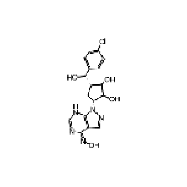 O/N=c1/nc[nH]c2c1cnn2[C@@H]1C[C@H](C(O)c2ccc(Cl)cc2)[C@@H](O)[C@H]1O